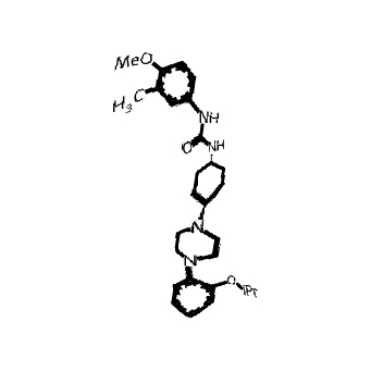 COc1ccc(NC(=O)N[C@H]2CC[C@H](N3CCN(c4ccccc4OC(C)C)CC3)CC2)cc1C